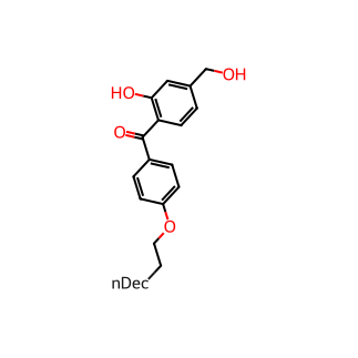 CCCCCCCCCCCCOc1ccc(C(=O)c2ccc(CO)cc2O)cc1